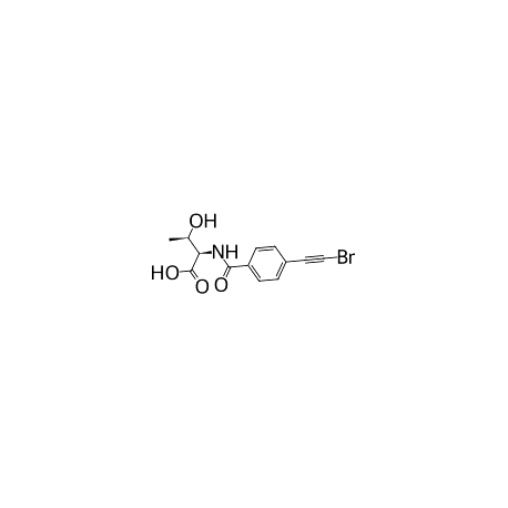 C[C@@H](O)[C@@H](NC(=O)c1ccc(C#CBr)cc1)C(=O)O